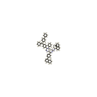 C=C/C(=C\C=C\N(C(=C)/C=C\C(=C\c1ccccc1)c1ccc(N(c2ccccc2)c2ccc(-c3ccccc3)cc2)cc1)c1ccc(-c2cccc3ccccc23)cc1)c1cccc2ccccc12